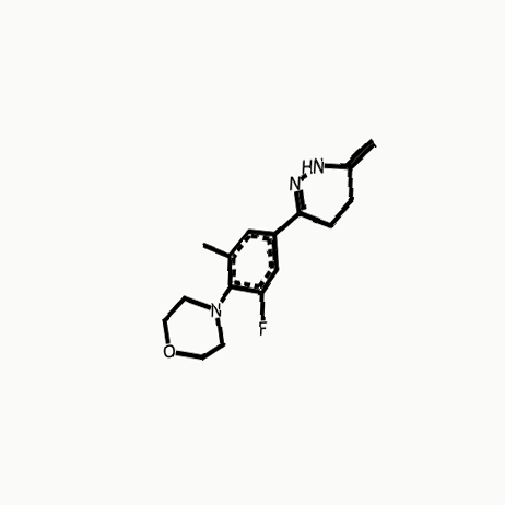 C=C1CCC(c2cc(C)c(N3CCOCC3)c(F)c2)=NN1